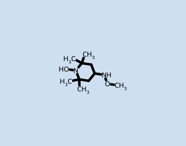 CONC1CC(C)(C)N(O)C(C)(C)C1